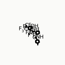 Cc1ccc(C(=O)Nc2cccc(C(=O)Nc3c(O)cc(C(F)(C(F)(F)F)C(F)(F)F)cc3OC(F)F)c2F)cc1